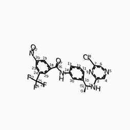 C[C@H](Nc1cncc(Cl)n1)c1cccc(NC(=O)c2cc(N=O)cc(C(F)(F)F)c2)c1